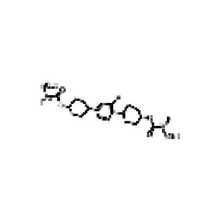 CCCCCCCC[C@H](F)C(=O)OC1CCC(c2ccc(C3CCC(OC(=O)[C@@H](F)CCCCCCCC)CC3)c(F)c2)CC1